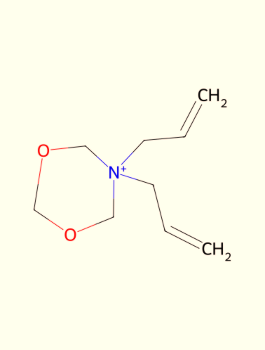 C=CC[N+]1(CC=C)COCOC1